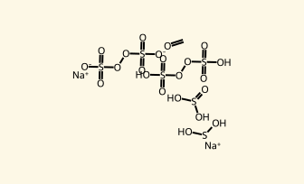 C=O.O=S(=O)(O)OOS(=O)(=O)O.O=S(=O)([O-])OOS(=O)(=O)[O-].O=S(O)O.OSO.[Na+].[Na+]